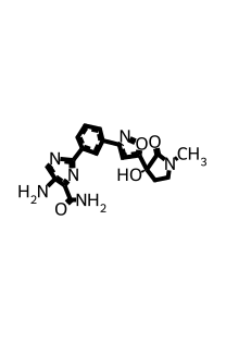 CN1CC[C@@](O)(c2cc(-c3cccc(-c4ncc(N)c(C(N)=O)n4)c3)no2)C1=O